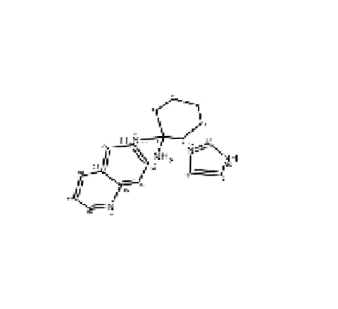 NC1(N)CCCCC1.c1c[nH]cn1.c1ccc2ncccc2c1